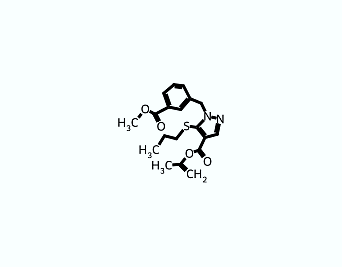 C=C(C)OC(=O)c1cnn(Cc2cccc(C(=O)OC)c2)c1SCCC